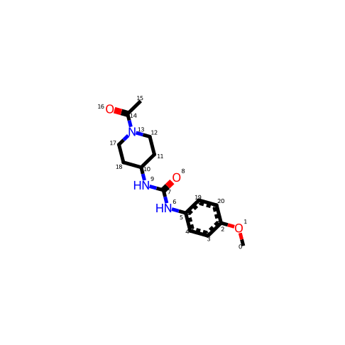 COc1ccc(NC(=O)NC2CCN(C(C)=O)CC2)cc1